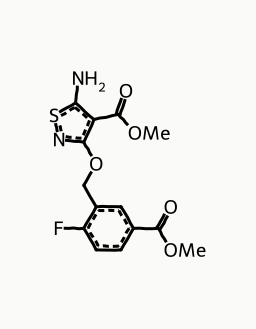 COC(=O)c1ccc(F)c(COc2nsc(N)c2C(=O)OC)c1